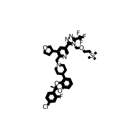 C[C@]1(c2ccc(Cl)cc2F)Oc2cccc(C3CCN(Cc4ncc(-c5nnc(C(F)(F)F)n5COCC[Si](C)(C)C)cc4C4CCOC4)CC3)c2O1